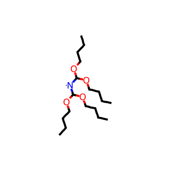 CCCCOC([N]C(OCCCC)OCCCC)OCCCC